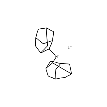 C1C2CC3CC1CC(C2)C3[N-]C1C2CC3CC(C2)CC1C3.[Li+]